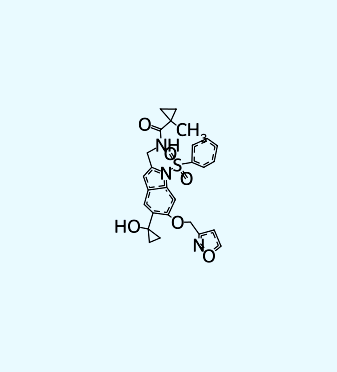 CC1(C(=O)NCc2cc3cc(C4(O)CC4)c(OCc4ccon4)cc3n2S(=O)(=O)c2ccccc2)CC1